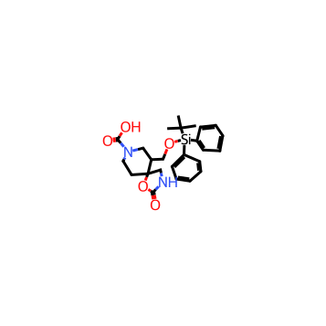 CC(C)(C)[Si](OCC1CN(C(=O)O)CCC12CNC(=O)O2)(c1ccccc1)c1ccccc1